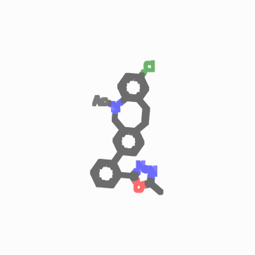 CC(=O)N1Cc2cc(-c3ccccc3-c3nnc(C)o3)ccc2C=Cc2cc(Cl)ccc21